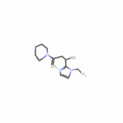 C=C(CC(N=O)c1nccn1CC(F)(F)F)N1CCCCC1